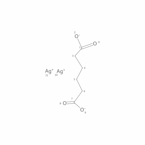 O=C([O-])CCCCC(=O)[O-].[Ag+].[Ag+]